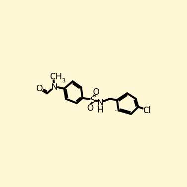 CN(C=O)c1ccc(S(=O)(=O)NCc2[c]cc(Cl)cc2)cc1